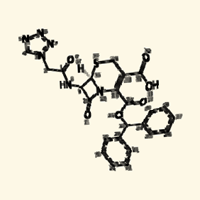 O=C(Cn1cnnn1)NC1C(=O)N2C(C(=O)OC(c3ccccc3)c3ccccc3)=C(C(=O)O)CS[C@H]12